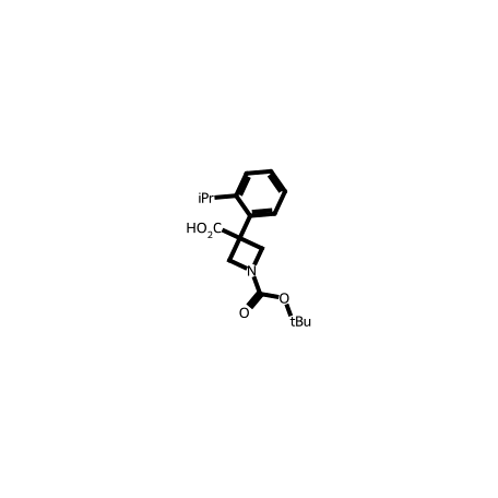 CC(C)c1ccccc1C1(C(=O)O)CN(C(=O)OC(C)(C)C)C1